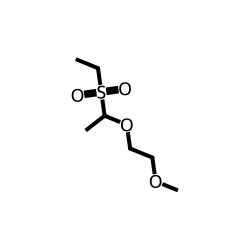 CCS(=O)(=O)C(C)OCCOC